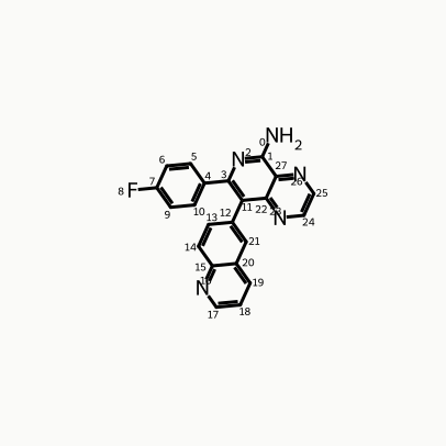 Nc1nc(-c2ccc(F)cc2)c(-c2ccc3ncccc3c2)c2nccnc12